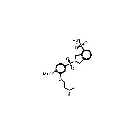 COc1ccc(S(=O)(=O)N2Cc3cccc(S(N)(=O)=O)c3C2)cc1OCCN(C)C